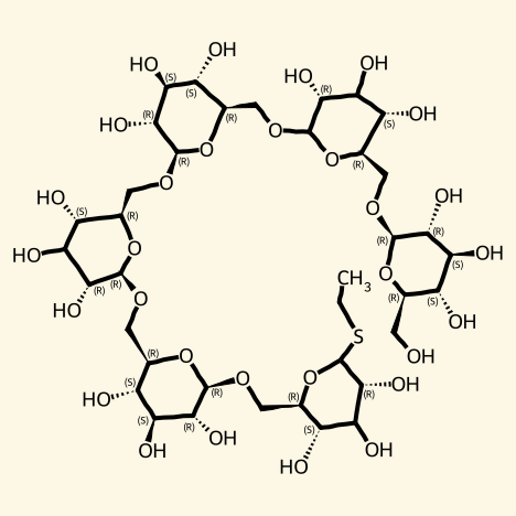 CCSC1O[C@H](CO[C@@H]2O[C@H](CO[C@@H]3O[C@H](CO[C@@H]4O[C@H](COC5O[C@H](CO[C@@H]6O[C@H](CO)[C@@H](O)[C@H](O)[C@H]6O)[C@@H](O)C(O)[C@H]5O)[C@@H](O)[C@H](O)[C@H]4O)[C@@H](O)C(O)[C@H]3O)[C@@H](O)[C@H](O)[C@H]2O)[C@@H](O)C(O)[C@H]1O